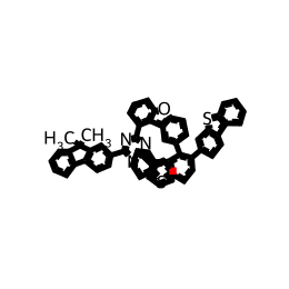 CC1(C)c2ccccc2-c2ccc(-c3nc(-c4ccccc4)nc(-c4cccc5oc6ccc(-c7c(-c8ccc9c(c8)sc8ccccc89)ccc8sc9ccccc9c78)cc6c45)n3)cc21